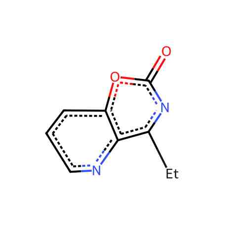 CCc1nc(=O)oc2cccnc12